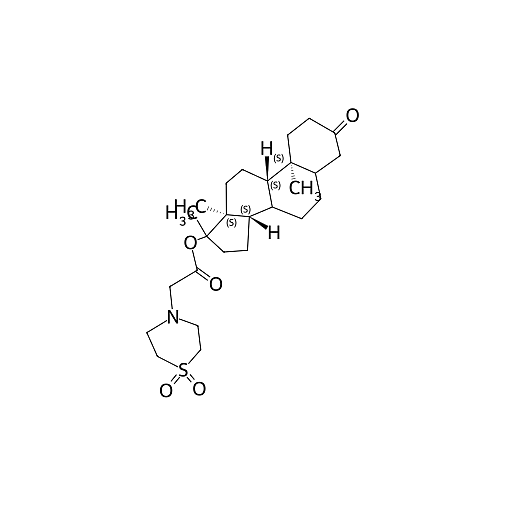 CC1(OC(=O)CN2CCS(=O)(=O)CC2)CC[C@H]2C3CCC4CC(=O)CC[C@]4(C)[C@H]3CC[C@@]21C